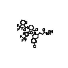 CCC[C@H]1N(C(=O)c2ncccc2C(F)(F)F)CCC[C@@]1(Oc1csc(C(F)(F)F)c1)C(=O)N1Cc2ccc(Cl)cc2C[C@@H]1CCC(=O)NO